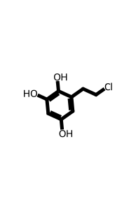 Oc1cc(O)c(O)c(CCCl)c1